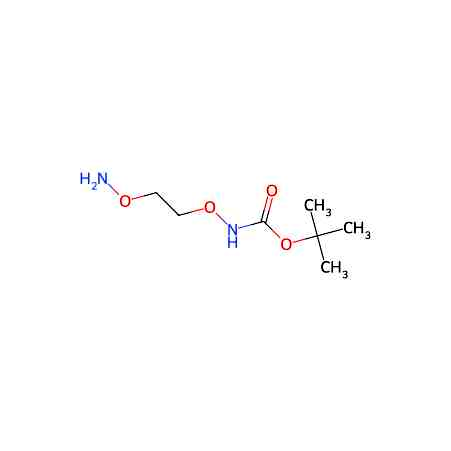 CC(C)(C)OC(=O)NOCCON